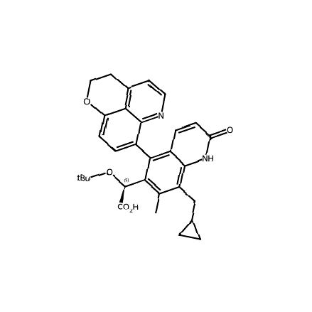 Cc1c([C@H](OC(C)(C)C)C(=O)O)c(-c2ccc3c4c(ccnc24)CCO3)c2ccc(=O)[nH]c2c1CC1CC1